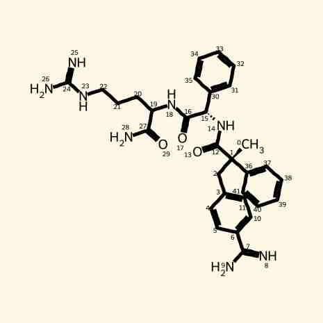 C[C@@](Cc1ccc(C(=N)N)cc1)(C(=O)N[C@H](C(=O)NC(CCCNC(=N)N)C(N)=O)c1ccccc1)c1ccccc1